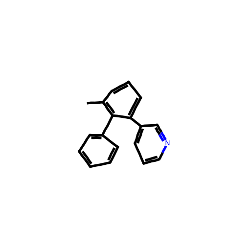 Cc1cccc(-c2cccnc2)c1-c1ccccc1